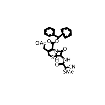 CSC(C#N)C(=O)NC1C(=O)N2C(C(=O)OC(c3ccccc3)c3ccccc3)=C(COC(C)=O)CS[C@@H]12